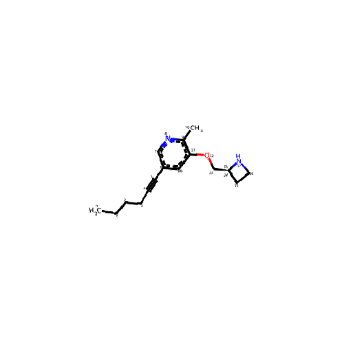 CCCCC#Cc1cnc(C)c(OC[C@@H]2CCN2)c1